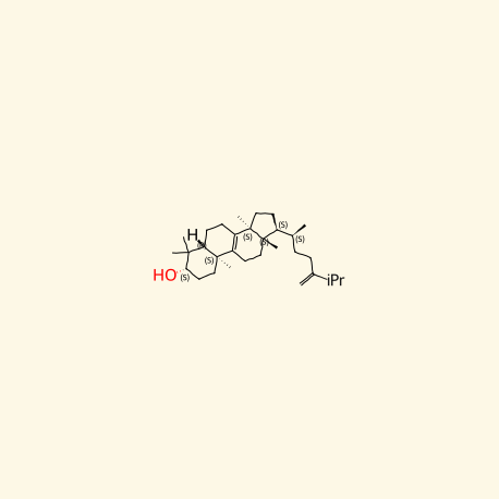 C=C(CC[C@H](C)[C@@H]1CC[C@]2(C)C3=C(CC[C@@]12C)[C@@]1(C)CC[C@H](O)C(C)(C)[C@@H]1CC3)C(C)C